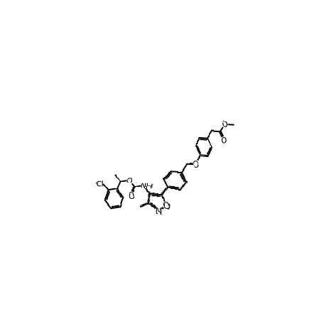 COC(=O)Cc1ccc(OCc2ccc(-c3onc(C)c3NC(=O)O[C@H](C)c3ccccc3Cl)cc2)cc1